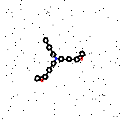 c1ccc(-c2ccc(-c3ccc(N(c4ccc(-c5ccc(-c6ccc7oc8ccccc8c7c6)cc5)cc4)c4ccc(-c5ccc(-c6ccc7oc8ccccc8c7c6)cc5)cc4)cc3)cc2)cc1